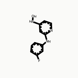 ONc1ccnc(Nc2cccc(F)c2)c1